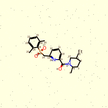 CCC1CCC(C)N(C(=O)c2cccc(CS(=O)(=O)c3c(C)cccc3C)n2)C1